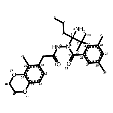 CCC[C@@](N)(N(NC(=O)Cc1ccc2c(c1C)OCCO2)C(=O)c1cc(C)cc(C)c1)C(C)(C)C